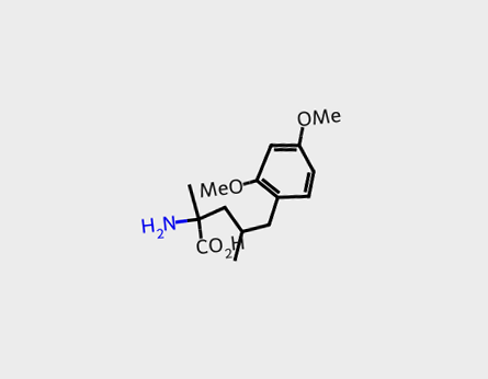 COc1ccc(CC(C)CC(C)(N)C(=O)O)c(OC)c1